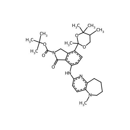 CC1COC(C)(c2ccc(Nc3ccc4c(n3)CCCCN4C)c3c2CN(C(=O)OC(C)(C)C)C3=O)OC1(C)C